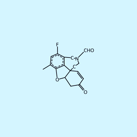 Cc1cc(F)c2c3c1OC1CC(=O)C=CC31CCN(C=O)C2